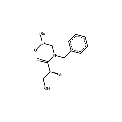 CC(C)(C)[S+]([O-])CN(Cc1ccccc1)C(=O)[C@@H](Br)CO